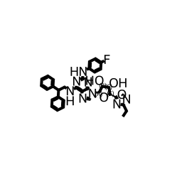 CCc1noc([C@H]2O[C@@H](n3cnc4c(NCC(c5ccccc5)c5ccccc5)nc(Nc5ccc(F)cc5)nc43)[C@H](O)[C@@H]2O)n1